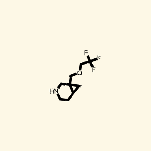 FC(F)(F)COCC12CNCCC1C2